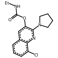 CCNC(=O)Oc1cc2cccc(Cl)c2nc1N1CCCC1